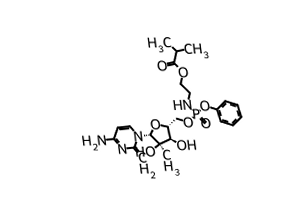 C=C1N=C(N)C=CN1[C@@H]1O[C@H](COP(=O)(NCCOC(=O)C(C)C)Oc2ccccc2)[C@@H](O)[C@@]1(C)O